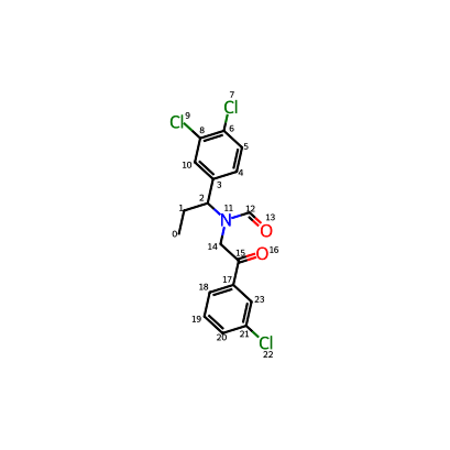 CCC(c1ccc(Cl)c(Cl)c1)N(C=O)CC(=O)c1cccc(Cl)c1